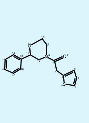 O=C(Cc1cccs1)N1CCOC(c2ccccc2)C1